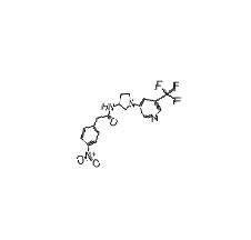 O=C(Cc1ccc([N+](=O)[O-])cc1)NC1CCN(c2cncc(C(F)(F)F)c2)C1